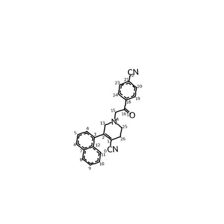 N#CC1=C(c2cccc3ccccc23)CN(CC(=O)c2ccc(C#N)cc2)CC1